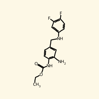 CCOC(=O)Nc1ccc(CNc2ccc(F)c(F)c2)cc1N